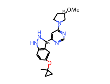 CO[C@@H]1CCN(c2cc([C@@H]3NNc4ccc(OC5(C)CC5)cc43)ncn2)C1